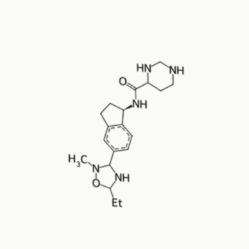 CCC1NC(c2ccc3c(c2)CC[C@H]3NC(=O)C2CCNCN2)N(C)O1